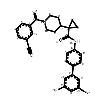 N#Cc1cccc(C(=O)N2CCC(C3(C(=O)Nc4ccc(-c5cc(F)cc(F)c5)cc4)CC3)CC2)c1